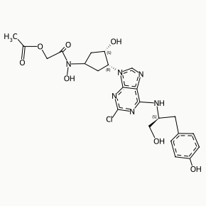 CC(=O)OCC(=O)N(O)C1C[C@@H](n2cnc3c(N[C@H](CO)Cc4ccc(O)cc4)nc(Cl)nc32)[C@@H](O)C1